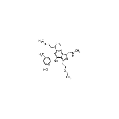 CCOCCn1nc(CNC)c2nc(N(C)CCOC)nc(Nc3cc(C)ccn3)c21.Cl